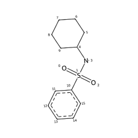 O=S(=O)([N]C1CCCCC1)c1ccccc1